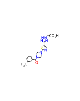 O=C(O)Cn1nnc(-c2cnc(N3CCN(C(=O)c4cccc(C(F)(F)F)c4)CC3)s2)n1